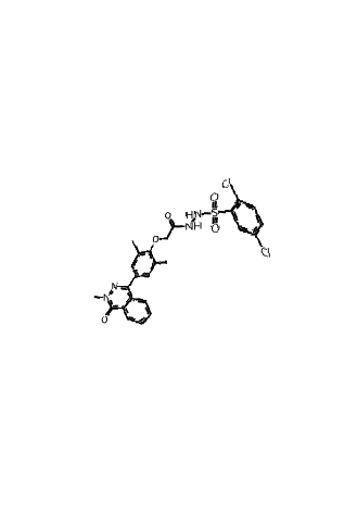 Cc1cc(-c2nn(C)c(=O)c3ccccc23)cc(C)c1OCC(=O)NNS(=O)(=O)c1cc(Cl)ccc1Cl